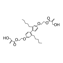 C=C(CO)C(=O)OCCOc1ccc(-c2ccc(OCCOC(=O)C(=C)CO)cc2CCCCC)c(CCCCC)c1